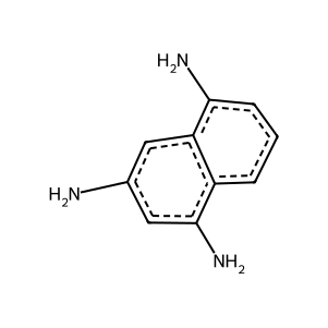 Nc1cc(N)c2cccc(N)c2c1